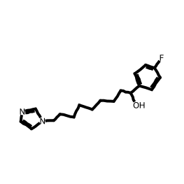 OC(CCCCCCCCn1ccnc1)c1ccc(F)cc1